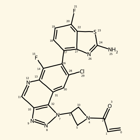 C=CC(=O)N1CC(n2nnc3cnc4c(F)c(-c5ccc(F)c6sc(N)nc56)c(Cl)cc4c32)C1